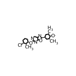 Cc1cc(-c2nc3cnc(Oc4cccc(Cl)c4C)nc3o2)cc(C)c1[O]